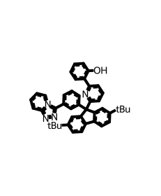 CC(C)(C)c1ccc2c(c1)C(c1cccc(-c3nnc4ccccn34)c1)(c1cccc(-c3ccccc3O)n1)c1cc(C(C)(C)C)ccc1-2